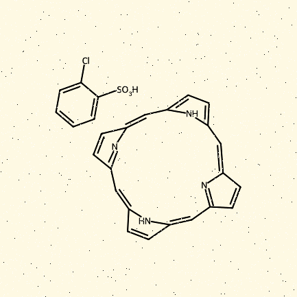 C1=Cc2cc3ccc(cc4nc(cc5ccc(cc1n2)[nH]5)C=C4)[nH]3.O=S(=O)(O)c1ccccc1Cl